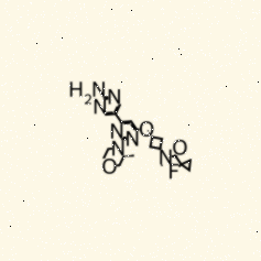 C[C@H]1COCCN1c1nc(O[C@H]2C[C@H](N(C)C(=O)C3(F)CC3)C2)cc(-c2cnc(N)nc2)n1